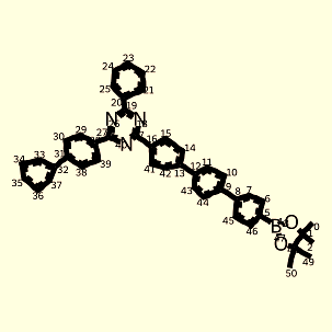 CC1(C)OB(c2ccc(-c3ccc(-c4ccc(-c5nc(-c6ccccc6)nc(-c6ccc(-c7ccccc7)cc6)n5)cc4)cc3)cc2)OC1(C)C